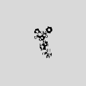 CCNC(=O)Nc1ncnc2c1ncn2C1OC(C(=O)N2CCC[C@@H]2C(=O)OCC)C2O[C@H](c3ccccc3)OC21